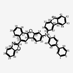 c1ccc(-c2ccc(N(c3ccc4c(c3)oc3c5ccccc5c(-c5nc6ccccc6o5)cc43)c3ccc4sc5ccccc5c4c3)cc2)cc1